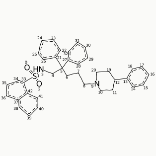 O=S(=O)(NCC(CCCN1CCC(c2ccccc2)CC1)(c1ccccc1)c1ccccc1)c1cccc2ccccc12